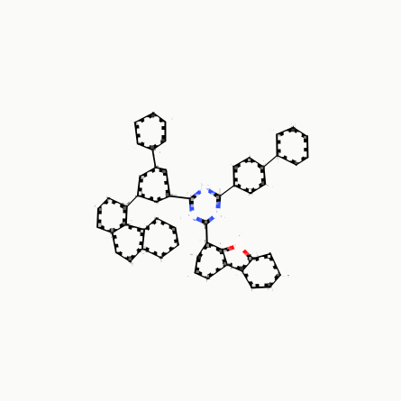 c1ccc(-c2ccc(-c3nc(-c4cc(-c5ccccc5)cc(-c5cccc6ccc7ccccc7c56)c4)nc(-c4cccc5c4oc4ccccc45)n3)cc2)cc1